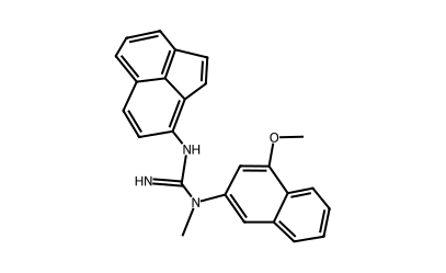 COc1cc(N(C)C(=N)Nc2ccc3cccc4c3c2C=C4)cc2ccccc12